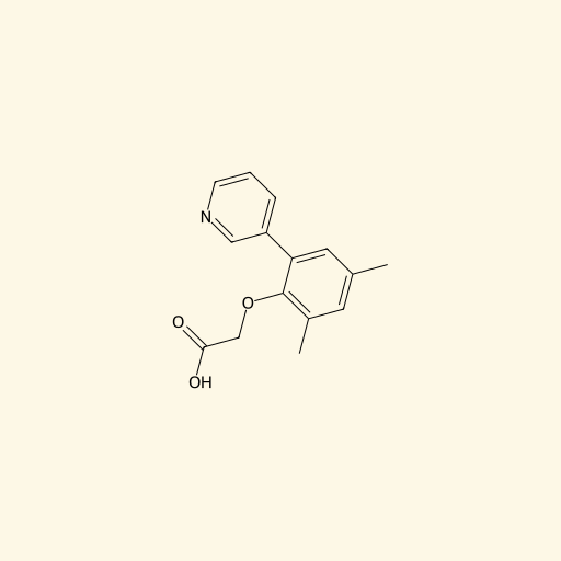 Cc1cc(C)c(OCC(=O)O)c(-c2cccnc2)c1